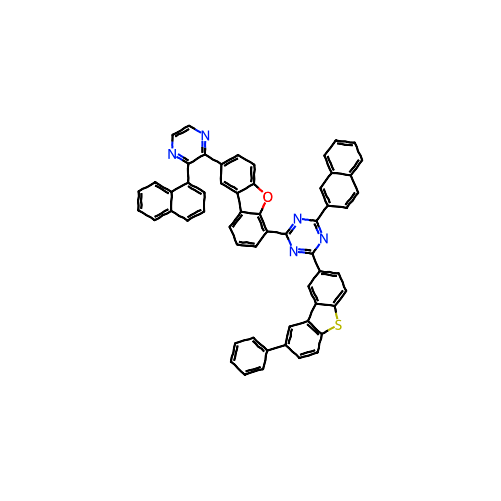 c1ccc(-c2ccc3sc4ccc(-c5nc(-c6ccc7ccccc7c6)nc(-c6cccc7c6oc6ccc(-c8nccnc8-c8cccc9ccccc89)cc67)n5)cc4c3c2)cc1